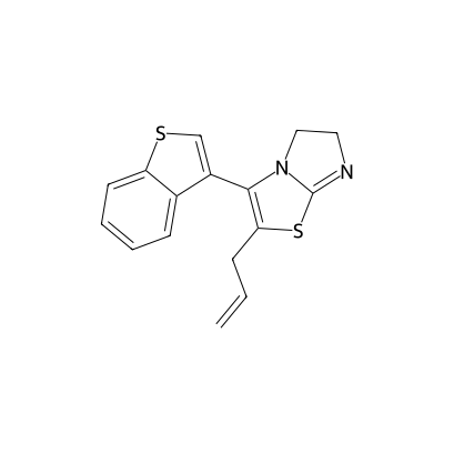 C=CCC1=C(c2csc3ccccc23)N2CCN=C2S1